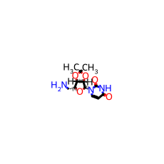 CC1(C)O[C@@H]2[C@H](O1)[C@H](n1ccc(=O)[nH]c1=O)O[C@@H]2CN